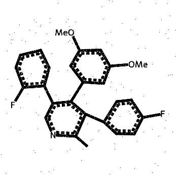 COc1cc(OC)cc(-c2c(-c3ccccc3F)cnc(C)c2-c2ccc(F)cc2)c1